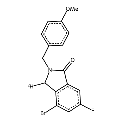 [2H]C1c2c(Br)cc(F)cc2C(=O)N1Cc1ccc(OC)cc1